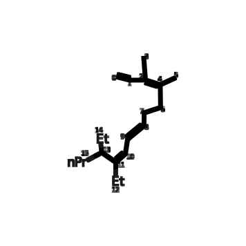 C=CC(C)=C(C)CCC=CC=C(CC)C(CC)CCC